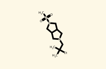 CCC(C)(C)CN1CC2CN(S(C)(=O)=O)CC2C1